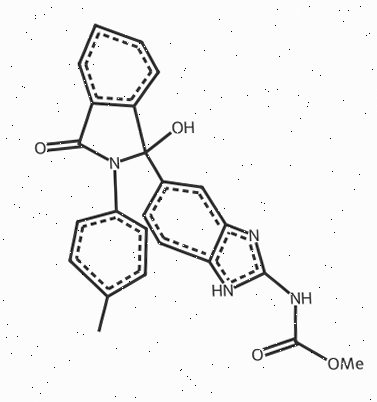 COC(=O)Nc1nc2cc(C3(O)c4ccccc4C(=O)N3c3ccc(C)cc3)ccc2[nH]1